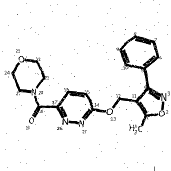 Cc1onc(-c2ccccc2)c1COc1ccc(C(=O)N2CCOCC2)nn1